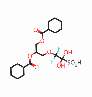 O=C(OCC(COC(F)(F)C(O)(O)S(=O)(=O)O)OC(=O)C1CCCCC1)C1CCCCC1